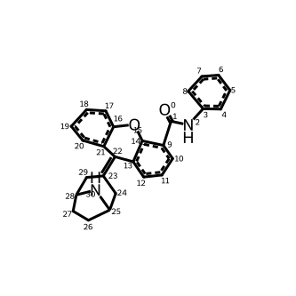 O=C(Nc1ccccc1)c1cccc2c1Oc1ccccc1C2=C1CC2CCC(C1)N2